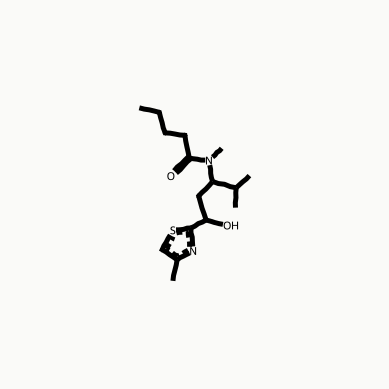 CCCCC(=O)N(C)C(CC(O)c1nc(C)cs1)C(C)C